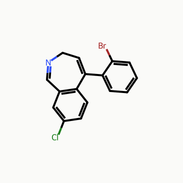 Clc1ccc2c(c1)C=NCC=C2c1ccccc1Br